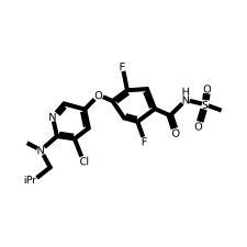 CC(C)CN(C)c1ncc(Oc2cc(F)c(C(=O)NS(C)(=O)=O)cc2F)cc1Cl